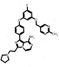 Cc1ncc(COc2cc(F)cc(Oc3ccc(-c4nc(CCN5CCCC5)n5ccnc(N)c45)cc3)c2)cn1